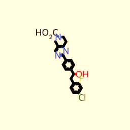 O=C(O)N1CCc2nc(-c3ccc(C(O)Cc4ccc(Cl)cc4F)cc3)ncc2C1